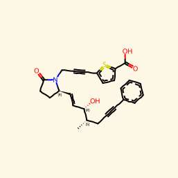 C[C@@H](CC#Cc1ccccc1)[C@@H](O)C=C[C@H]1CCC(=O)N1CC#Cc1ccc(C(=O)O)s1